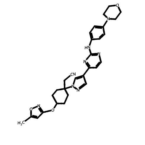 Cc1cc(OC2CCC(CC#N)(n3cc(-c4ccnc(Nc5ccc(N6CCOCC6)cc5)n4)cn3)CC2)no1